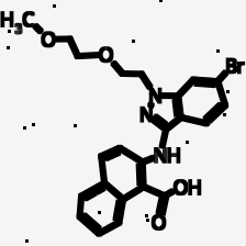 COCCOCCn1nc(Nc2ccc3ccccc3c2C(=O)O)c2ccc(Br)cc21